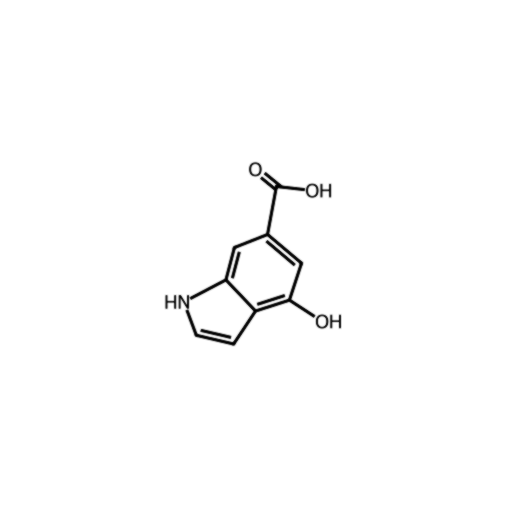 O=C(O)c1cc(O)c2cc[nH]c2c1